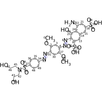 COc1cc(/N=N/c2c(S(=O)(=O)O)cc3cc(S(=O)(=O)O)cc(N)c3c2O)c(OC)cc1/N=N/c1ccc(S(=O)(=O)N(CCO)CCO)cc1